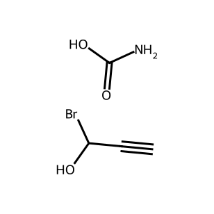 C#CC(O)Br.NC(=O)O